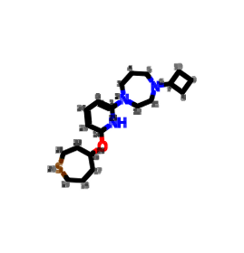 [C]1=C(N2CCCN(C3CCC3)CC2)NC(OC2CCCSCC2)C=C1